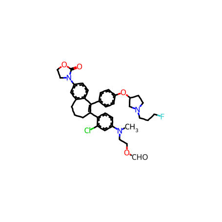 CN(CCOC=O)c1ccc(C2=C(c3ccc(OC4CCN(CCCF)C4)cc3)c3ccc(N4CCOC4=O)cc3CCC2)c(Cl)c1